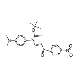 C=C(OC(C)(C)C)N(C=CC(=O)c1ccc([N+](=O)[O-])nc1)c1ccc(N(C)C)cc1